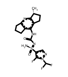 C[C@@H]1CCc2c1nc1c(c2NC(=O)N=[S@@](N)(=O)c2cnn(C(F)F)c2F)CCC1